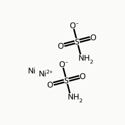 NS(=O)(=O)[O-].NS(=O)(=O)[O-].[Ni+2].[Ni]